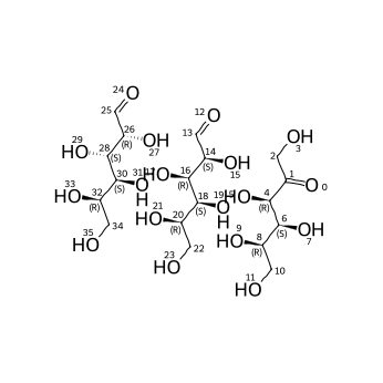 O=C(CO)[C@H](O)[C@@H](O)[C@H](O)CO.O=C[C@@H](O)[C@H](O)[C@@H](O)[C@H](O)CO.O=C[C@H](O)[C@@H](O)[C@@H](O)[C@H](O)CO